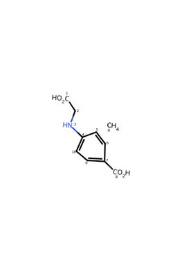 C.O=C(O)CNc1ccc(C(=O)O)cc1